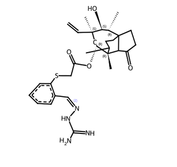 C=C[C@]1(C)C[C@@H](OC(=O)CSc2ccccc2/C=N\NC(=N)N)[C@]2(C)C(C)CCC3(CCC(=O)C32)[C@@H](C)[C@@H]1O